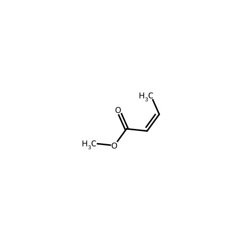 C/C=C\C(=O)OC